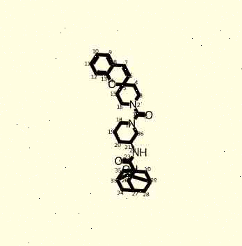 O=C(N1CCC2(C=Cc3ccccc3O2)CC1)N1CCC[C@H](NC(=O)C23CC4CC(C2)C(O)C(C4)C3)C1